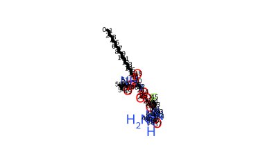 CCCCCCCCCCCCCCCCCC(=O)OCC(CCOC(=O)OC[C@H]1O[C@@H](n2cnc3c(=O)[nH]c(N)nc32)CC1F)COC(=O)[C@@H](N)C(C)C